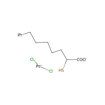 CC(C)CCCCCC(S)C(=O)[O-].[Cl][Pt+][Cl]